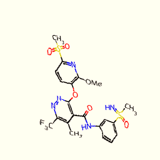 COc1nc(S(C)(=O)=O)ccc1Oc1nnc(C(F)(F)F)c(C)c1C(=O)Nc1cccc(S(C)(=N)=O)c1